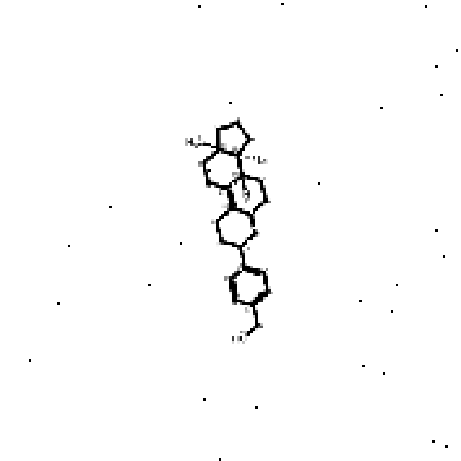 C[C@@]12CCC[C@H]1[C@@H]1CCC3CC(c4ccc(CO)cc4)CCC3=C1CC2